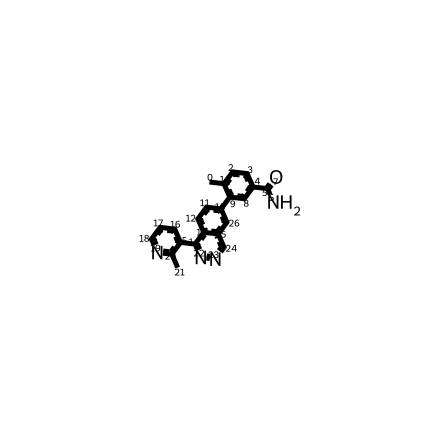 Cc1ccc(C(N)=O)cc1-c1ccc2c(-c3cccnc3C)nncc2c1